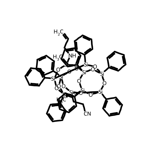 C=CCN[Si]1(C)O[Si]2(c3ccccc3)O[Si]3(c4ccccc4)O[Si]4(c5ccccc5)O[Si](C)(CCC#N)O[Si]5(c6ccccc6)O[Si](c6ccccc6)(O[Si](c6ccccc6)(O1)O[Si](c1ccccc1)(O5)O[Si](c1ccccc1)(O4)O2)O3